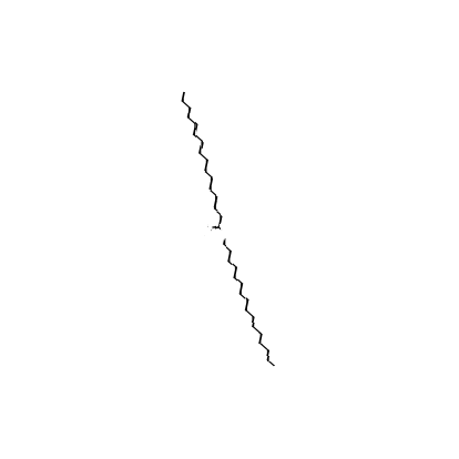 CCCCCCCCCCCCCCCCOC(N)CCCCCCCCCCCCCCC